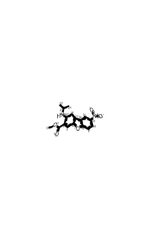 COC(=O)c1cc2oc3ccc([N+](=O)[O-])cc3c2cc1NC(C)C